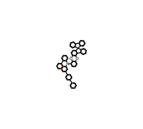 c1ccc(-c2ccc(-c3cccc(N(c4ccccc4-c4ccccc4)c4cccc5c4Oc4ccc6c(c4O5)-c4ccccc4C64c5ccccc5-c5ccccc54)c3)cc2)cc1